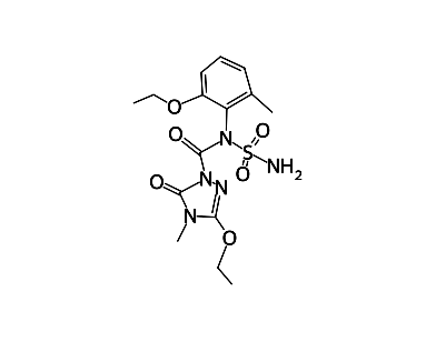 CCOc1cccc(C)c1N(C(=O)n1nc(OCC)n(C)c1=O)S(N)(=O)=O